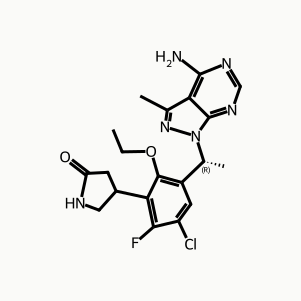 CCOc1c([C@@H](C)n2nc(C)c3c(N)ncnc32)cc(Cl)c(F)c1C1CNC(=O)C1